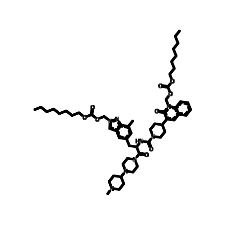 CCCCCCCCOC(=O)OCn1cc2cc(CC(NC(=O)N3CCC(c4cc5ccccc5n(COC(=O)OCCCCCCCC)c4=O)CC3)C(=O)N3CCN(C4CCN(C)CC4)CC3)cc(C)c2n1